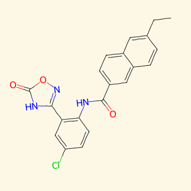 CCc1ccc2cc(C(=O)Nc3ccc(Cl)cc3-c3noc(=O)[nH]3)ccc2c1